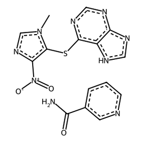 Cn1cnc([N+](=O)[O-])c1Sc1ncnc2nc[nH]c12.NC(=O)c1cccnc1